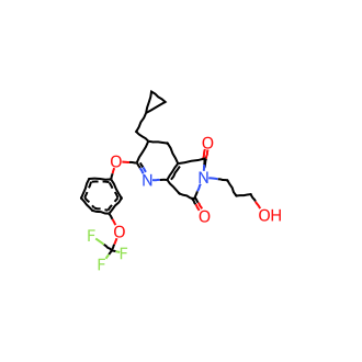 O=C1CC2=C(CC(CC3CC3)C(Oc3cccc(OC(F)(F)F)c3)=N2)C(=O)N1CCCO